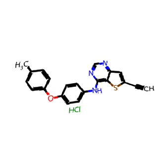 C#Cc1cc2ncnc(Nc3ccc(Oc4ccc(C)cc4)cc3)c2s1.Cl